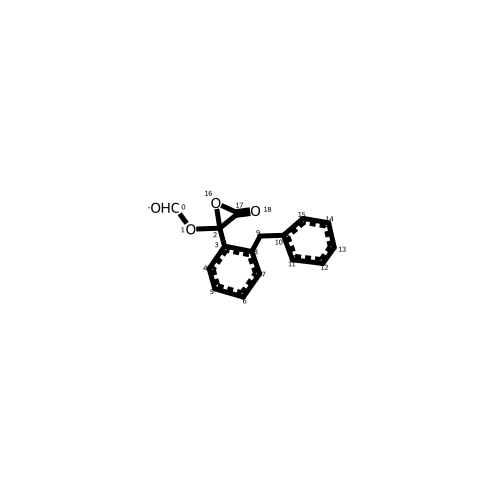 O=[C]OC1(c2ccccc2Cc2ccccc2)OC1=O